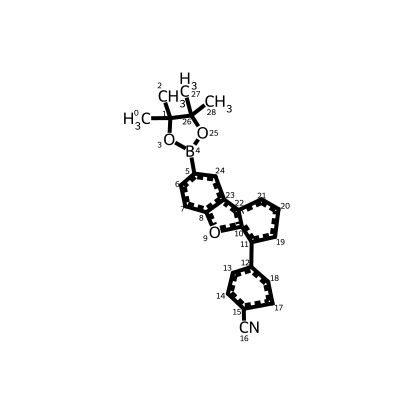 CC1(C)OB(c2ccc3oc4c(-c5ccc(C#N)cc5)cccc4c3c2)OC1(C)C